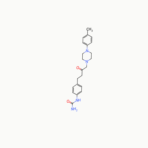 Cc1ccc(N2CCN(CC(=O)CCc3ccc(NC(N)=O)cc3)CC2)cc1